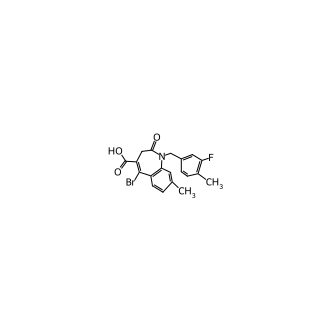 Cc1ccc2c(c1)N(Cc1ccc(C)c(F)c1)C(=O)CC(C(=O)O)=C2Br